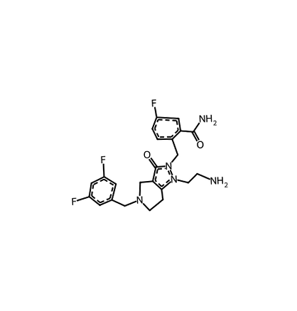 NCCn1c2c(c(=O)n1Cc1ccc(F)cc1C(N)=O)CN(Cc1cc(F)cc(F)c1)CC2